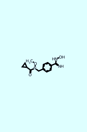 CON(Cc1ccc(C(=N)NO)cc1)C(=O)C1CC1